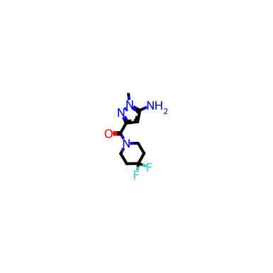 Cn1nc(C(=O)N2CCC(F)(F)CC2)cc1N